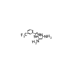 Nc1cc(N)c2nc(-c3cccc(C(F)(F)F)c3)cn2n1